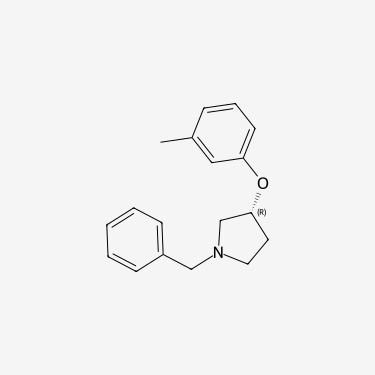 Cc1cccc(O[C@@H]2CCN(Cc3ccccc3)C2)c1